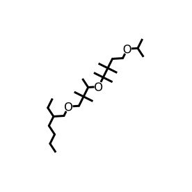 CCCCC(CC)COCC(C)(C)C(C)OC(C)(C)C(C)(C)CCOC(C)C